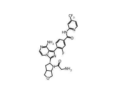 NCC(=O)N1C2COCC2C[C@H]1c1nc(-c2ccc(C(=O)Nc3cc(C(F)(F)F)ccn3)cc2F)c2c(N)nccn12